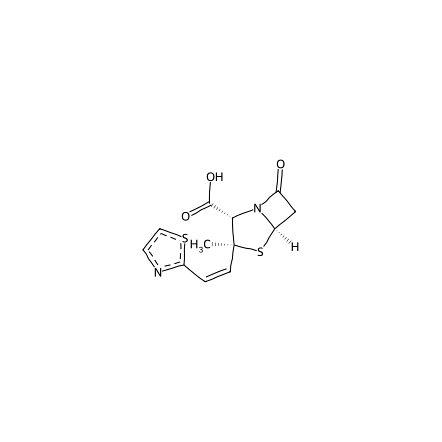 C[C@@]1(/C=C\c2nccs2)S[C@@H]2CC(=O)N2[C@H]1C(=O)O